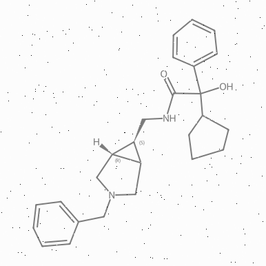 O=C(NC[C@H]1C2CN(Cc3ccccc3)C[C@@H]21)C(O)(c1ccccc1)C1CCCC1